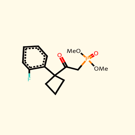 COP(=O)(CC(=O)C1(c2ccccc2F)CCC1)OC